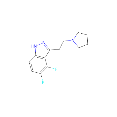 Fc1ccc2[nH]nc(CCN3CCCC3)c2c1F